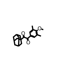 COc1c(C)cc(C(=O)C(=O)C23CC4CC(CC(C4)C2)C3)cc1C